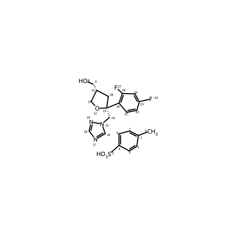 Cc1ccc(S(=O)(=O)O)cc1.OC[C@H]1CO[C@](Cn2cncn2)(c2ccc(F)cc2F)C1